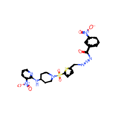 O=C(N=[N+]=NCc1ccc(S(=O)(=O)N2CCC(Nc3ncccc3[N+](=O)[O-])CC2)s1)c1cccc([N+](=O)[O-])c1